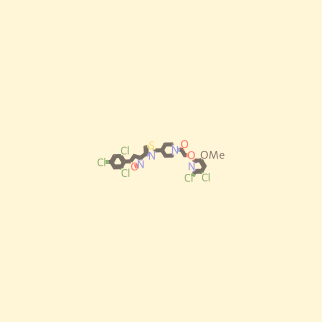 COc1cc(Cl)c(Cl)nc1OCC(=O)N1CCC(c2nc(C3=NOC(c4c(Cl)cc(Cl)cc4Cl)C3)cs2)CC1